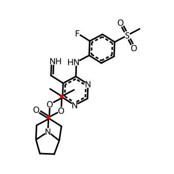 CC(C)OC(=O)N1C2CCC1CC(Oc1ncnc(Nc3ccc(S(C)(=O)=O)cc3F)c1C=N)C2